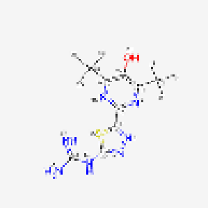 CC(C)(C)c1nc(-c2nnc(NC(=N)N)s2)nc(C(C)(C)C)c1O